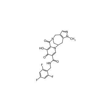 Cn1ncc2c1CC1CN(C2)C(=O)c2c(O)c(=O)c(C(=O)NCc3c(F)cc(F)cc3F)cn21